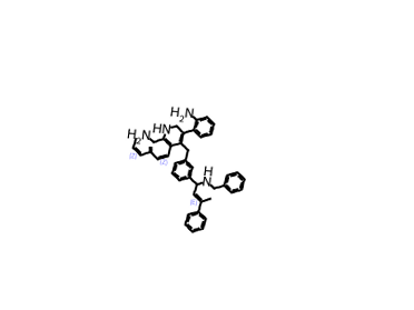 C=C(/C=C\C)/C=C\C1=C(CN)NCC(c2ccccc2N)=C1Cc1cccc(C(/C=C(\C)c2ccccc2)NCc2ccccc2)c1